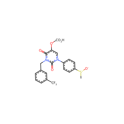 C[S+]([O-])c1ccc(-n2cc(OC(=O)O)c(=O)n(Cc3cccc(C(F)(F)F)c3)c2=O)cc1